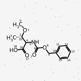 CO[C@@H](C)C(NC(=O)OCc1ccccc1)C(=O)O